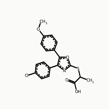 COc1ccc(-c2oc(SC(C)C(=O)O)nc2-c2ccc(Cl)cc2)cc1